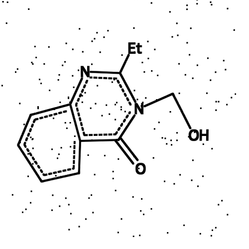 CCc1nc2ccccc2c(=O)n1CO